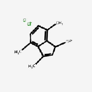 CC1=C[CH]([Ti+2])c2c(C)ccc(C)c21.[Cl-].[Cl-]